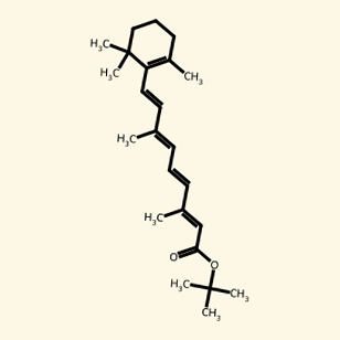 CC1=C(/C=C/C(C)=C/C=C/C(C)=C/C(=O)OC(C)(C)C)C(C)(C)CCC1